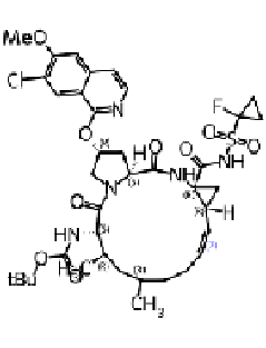 COc1cc2ccnc(O[C@@H]3C[C@H]4C(=O)N[C@]5(C(=O)NS(=O)(=O)C6(F)CC6)C[C@@H]5/C=C\CC[C@@H](C)C[C@@H](C)[C@H](NC(=O)OC(C)(C)C)C(=O)N4C3)c2cc1Cl